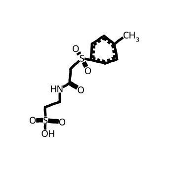 Cc1ccc(S(=O)(=O)CC(=O)NCCS(=O)(=O)O)cc1